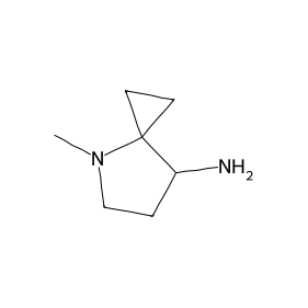 CN1CCC(N)C12CC2